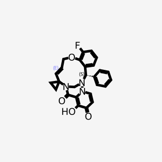 O=C1c2c(O)c(=O)ccn2N2CN1C1(/C=C/COc3c(F)cccc3[C@@H]2c2ccccc2)CC1